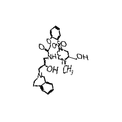 CN1CCN(S(=O)(=O)c2ccccc2OCC(=O)NC[C@@H](O)CN2CCc3ccccc3C2)CC1CO